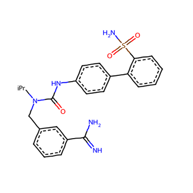 CC(C)N(Cc1cccc(C(=N)N)c1)C(=O)Nc1ccc(-c2ccccc2S(N)(=O)=O)cc1